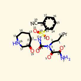 CC(C)CCN(C(=O)C(N)=O)C(=O)N([C@H]1CCCNCC1=O)S(=O)(=O)c1ccccc1C#N